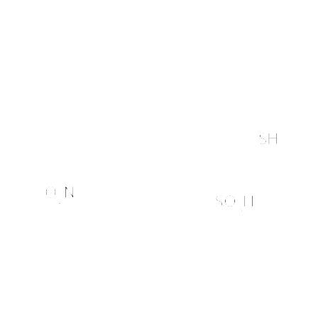 O=[N+]([O-])c1ccc(CS)c(S(=O)(=O)O)c1